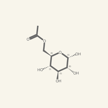 CC(=O)OC[C@H]1O[C@H](O)[C@H](O)[C@@H](O)[C@@H]1O